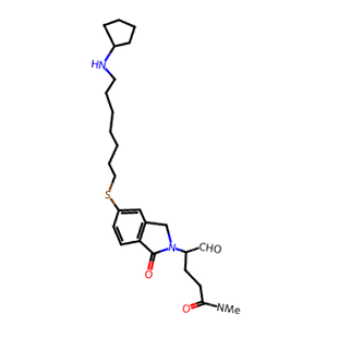 CNC(=O)CCC(C=O)N1Cc2cc(SCCCCCCCNC3CCCC3)ccc2C1=O